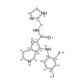 O=C(NCc1ncc[nH]1)c1oc2ccncc2c1Nc1ccc(I)cc1F